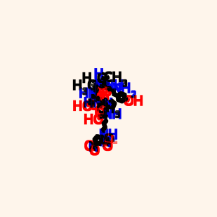 CC(C)[C@H](NC(=O)[C@@H](N)Cc1ccc(O)cc1)C(=O)N[C@@H](C)C(=O)N[C@@H](CC(=O)O)C(=O)N[C@@H](C)C(=O)N1CCC[C@H]1C(=O)N[C@@H](CCCCNc1ccc([N+](=O)[O-])cc1[N+](=O)[O-])C(=O)O